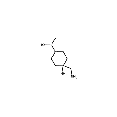 CB(O)N1CCC(N)(CN)CC1